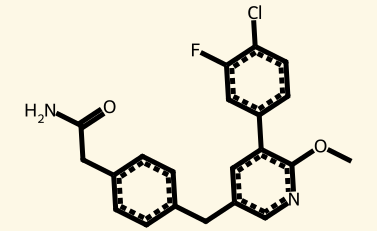 COc1ncc(Cc2ccc(CC(N)=O)cc2)cc1-c1ccc(Cl)c(F)c1